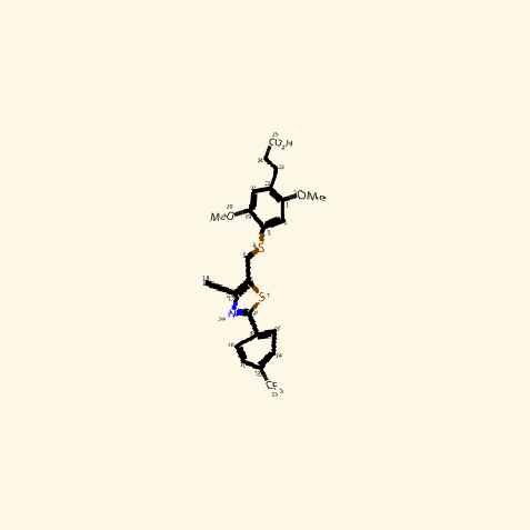 COc1cc(SCc2sc(-c3ccc(C(F)(F)F)cc3)nc2C)c(OC)cc1CCC(=O)O